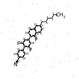 CCCCCCc1ccc2c(F)c(-c3cc(F)c(-c4ccc(C#N)cc4)c(F)c3)ccc2c1